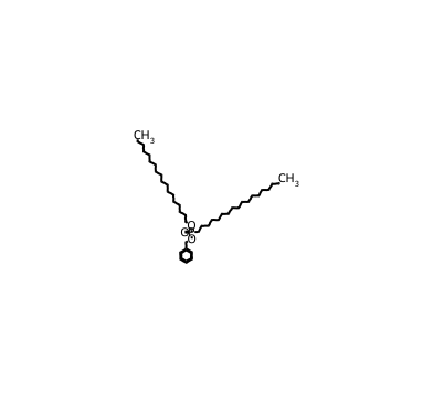 CCCCCCCCCCCCCCCCCCOP(=O)(CCCCCCCCCCCCCCCCCC)OCc1ccccc1